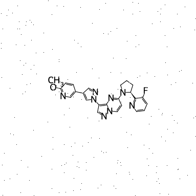 COc1ccc(-c2cnn(-c3cnn4ccc(N5CCC[C@H]5c5ncccc5F)nc34)c2)cn1